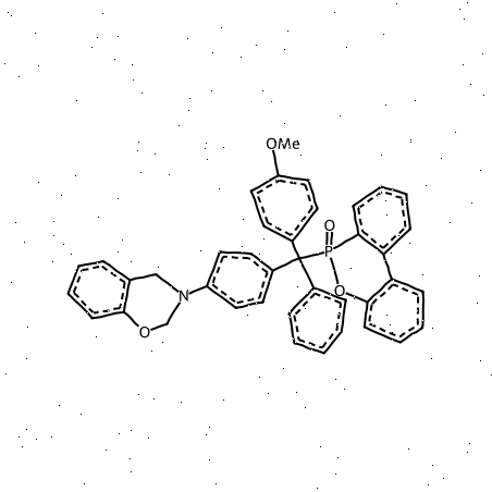 COc1ccc(C(c2ccccc2)(c2ccc(N3COc4ccccc4C3)cc2)P2(=O)Oc3ccccc3-c3ccccc32)cc1